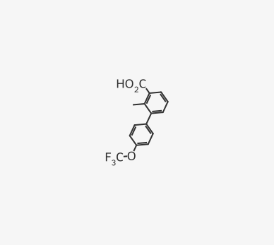 Cc1c(C(=O)O)cccc1-c1ccc(OC(F)(F)F)cc1